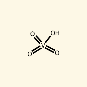 [O]=[V](=[O])(=[O])[OH]